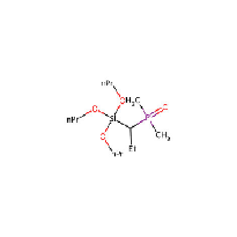 CCCO[Si](OCCC)(OCCC)C(CC)P(C)(C)=O